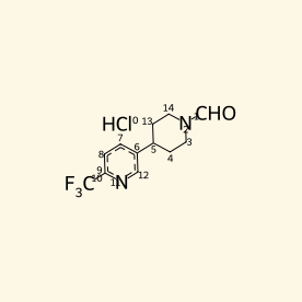 Cl.O=CN1CCC(c2ccc(C(F)(F)F)nc2)CC1